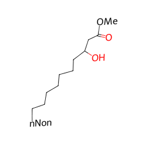 CCCCCCCCCCCCCCCCC(O)CC(=O)OC